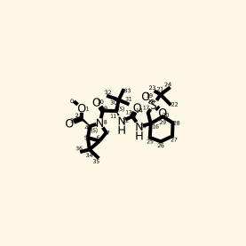 COC(=O)[C@@H]1C2C(CN1C(=O)[C@@H](NC(=O)NC1(CS(=O)(=O)C(C)(C)C)CCCCC1)C(C)(C)C)C2(C)C